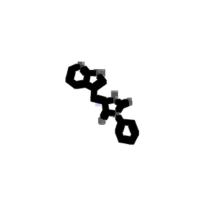 O=C1/C(=C/c2c[nH]c3ncccc23)NC(=S)N1c1ccccc1